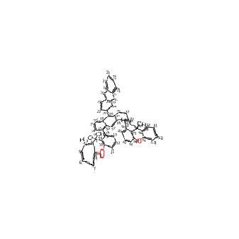 CC1(C)c2ccccc2Oc2cccc(-c3cccc4c(-c5ccc6cc7ccccc7cc6c5)c5cccc(-c6cccc7c6C(C)(C)c6ccccc6O7)c5cc34)c21